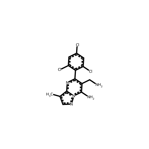 Cc1cnn2c(N)c(CN)c(-c3c(Cl)cc(Cl)cc3Cl)nc12